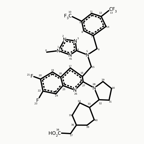 Cn1nnc(N(Cc2cc(C(F)(F)F)cc(C(F)(F)F)c2)Cc2cc3cc(F)c(F)cc3nc2N2CCCC2C2CCC(CC(=O)O)CC2)n1